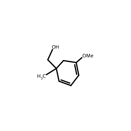 COC1=CC=CC(C)(CO)C1